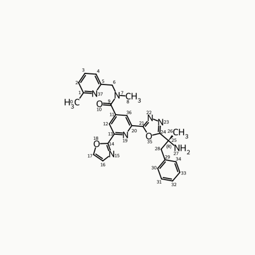 Cc1cccc(CN(C)C(=O)c2cc(-c3ncco3)nc(-c3nnc([C@](C)(N)Cc4ccccc4)o3)c2)n1